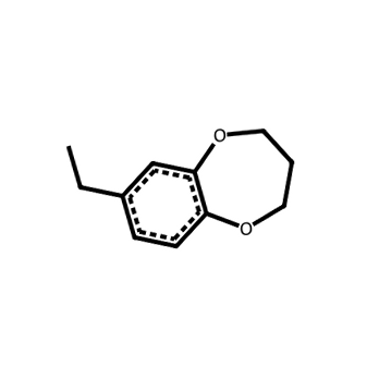 CCc1ccc2c(c1)OCCCO2